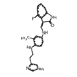 Cc1cc(NC=C2C(=O)Nc3cccc(F)c32)ccc1NCCc1c[nH]cn1